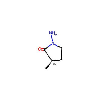 C[C@@H]1CCN(N)C1=O